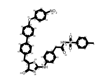 Cc1ccc(S(=O)(=O)NC(=O)Cc2ccc(NC3=NC(=O)C(=Cc4ccc(-c5ccc(Oc6ccc([N+](=O)[O-])cc6)cc5)cc4)S3)cc2)cc1